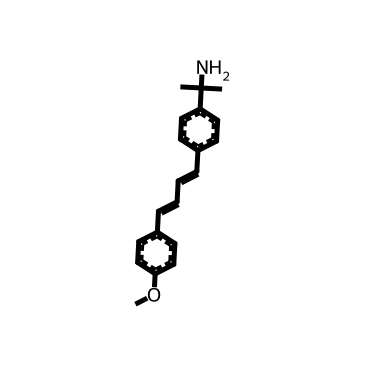 COc1ccc(/C=C/C=C/c2ccc(C(C)(C)N)cc2)cc1